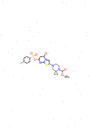 Cc1ccc(S(=O)(=O)Oc2cc(=O)n3cc(N4CCN(C(=O)OC(C)(C)C)C5(CC5)C4)sc3n2)cc1